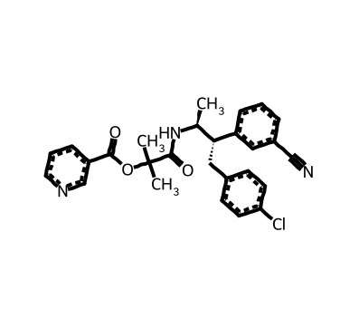 C[C@H](NC(=O)C(C)(C)OC(=O)c1cccnc1)[C@@H](Cc1ccc(Cl)cc1)c1cccc(C#N)c1